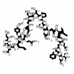 CC[C@H](C)[C@H](NC(=O)[C@H](CCC(=O)O)NC(=O)[C@@H](NC(=O)[C@@H](N)CO)[C@@H](C)O)C(=O)N[C@@H](Cc1ccc(O)cc1)C(=O)N[C@@H](CCC(N)=O)C(=O)N[C@@H](C)C(=O)NCC(=O)N[C@@H](CO)C(=O)N[C@H](C(=O)N1CCC[C@H]1C(=O)N[C@@H](CS)C(=O)N[C@@H](CC(N)=O)C(=O)NCC(=O)N[C@H](C(=O)N[C@@H](CCC(=O)O)C(=O)NCC(=O)N[C@@H](Cc1ccccc1)C(=O)N[C@@H](CC(N)=O)C(=O)N[C@@H](CS)C(=O)O)C(C)C)[C@@H](C)O